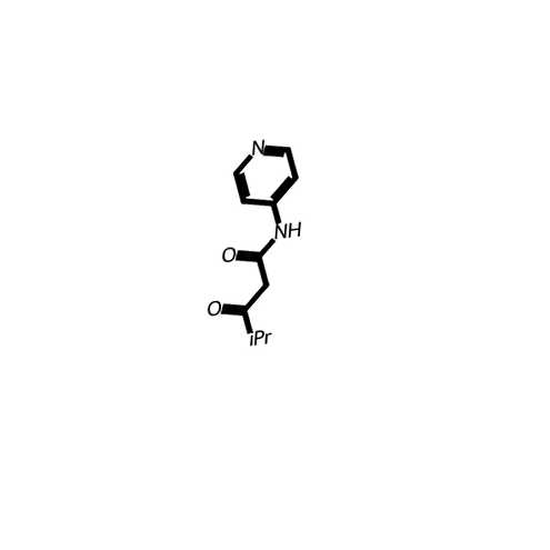 CC(C)C(=O)CC(=O)Nc1ccncc1